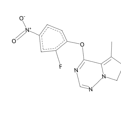 CC1=C2C(Oc3ccc([N+](=O)[O-])cc3F)=NC=NN2CC1